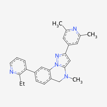 CCc1ncccc1-c1ccc2c(c1)-n1nc(-c3cc(C)nc(C)c3)cc1N(C)C2